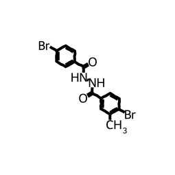 Cc1cc(C(=O)NNC(=O)c2ccc(Br)cc2)ccc1Br